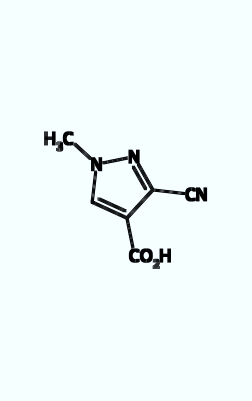 Cn1cc(C(=O)O)c(C#N)n1